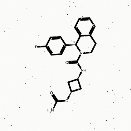 NC(=O)O[C@H]1C[C@@H](NC(=O)N2CCc3ccccc3[C@@H]2c2ccc(F)cc2)C1